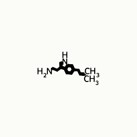 CC(C)=CCc1ccc2c(CCN)c[nH]c2c1